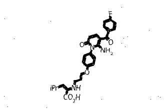 CC(C)CC(NCCCOc1ccc(-n2c(N)c(C(=O)c3ccc(F)cc3)ccc2=O)cc1)C(=O)O